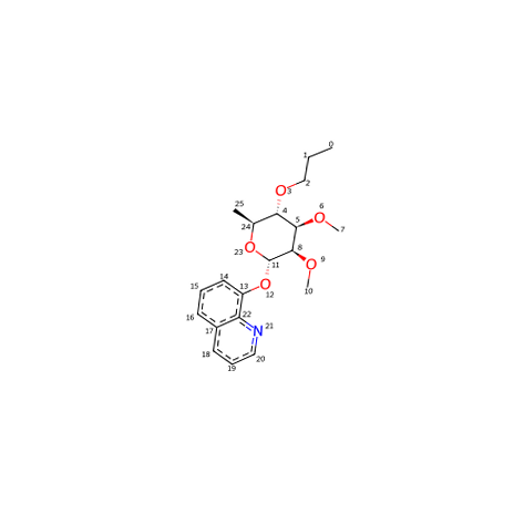 CCCO[C@@H]1[C@@H](OC)[C@@H](OC)[C@H](Oc2cccc3cccnc23)O[C@H]1C